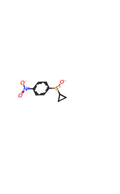 O=[N+]([O-])c1ccc([S+]([O-])C2CC2)cc1